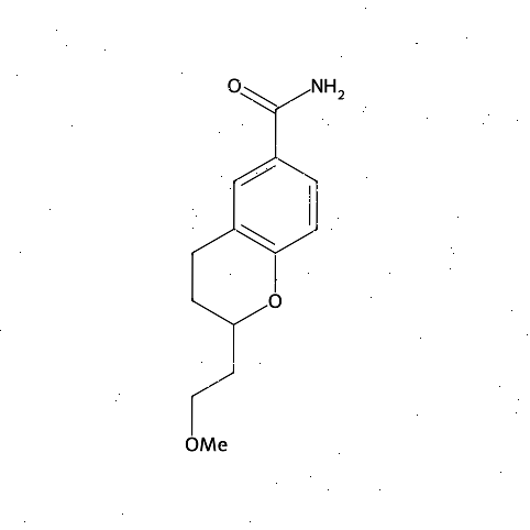 COCCC1CCc2cc(C(N)=O)ccc2O1